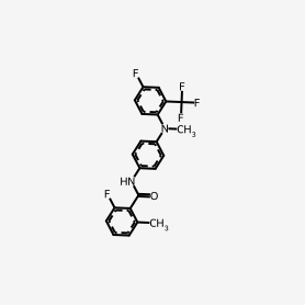 Cc1cccc(F)c1C(=O)Nc1ccc(N(C)c2ccc(F)cc2C(F)(F)F)cc1